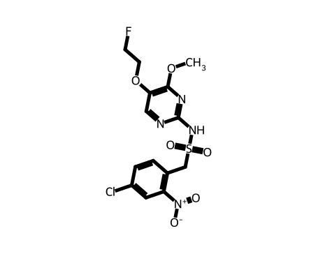 COc1nc(NS(=O)(=O)Cc2ccc(Cl)cc2[N+](=O)[O-])ncc1OCCF